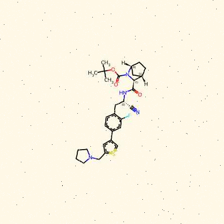 CC(C)(C)OC(=O)N1[C@@H]2CC[C@@H](C2)[C@H]1C(=O)N[C@H](C#N)Cc1ccc(-c2csc(CN3CCCC3)c2)cc1F